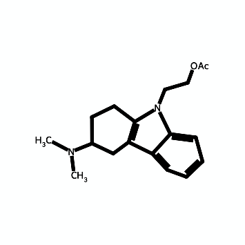 CC(=O)OCCn1c2c(c3ccccc31)CC(N(C)C)CC2